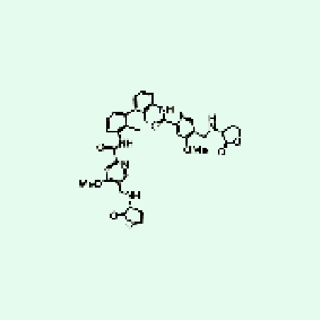 COc1cc(C(=O)Nc2cccc(-c3cccc(NC(=O)c4cc(OC)c(CN[C@@H]5CCOC5=O)cn4)c3C)c2C)ncc1CN[C@@H]1CCOC1=O